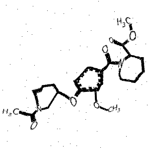 COC(=O)C1CCCCN1C(=O)c1ccc(OC2CCCN(C(C)=O)C2)c(OC)c1